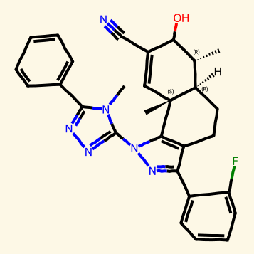 C[C@H]1C(O)C(C#N)=C[C@@]2(C)c3c(c(-c4ccccc4F)nn3-c3nnc(-c4ccccc4)n3C)CC[C@H]12